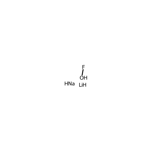 OF.[LiH].[NaH]